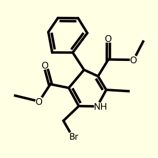 COC(=O)C1=C(C)NC(CBr)=C(C(=O)OC)C1c1ccccc1